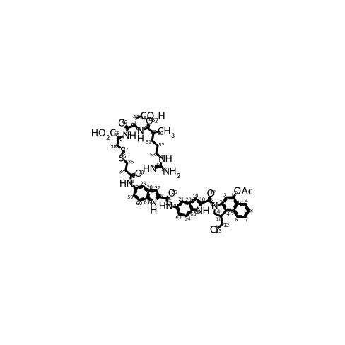 CC(=O)Oc1cc2c(c3ccccc13)C(CCl)CN2C(=O)c1cc2cc(NC(=O)c3cc4cc(NC(=O)CCSSC[C@H](NC(=O)[C@H](CC(=O)O)NC(=O)[C@@H](C)CCCNC(=N)N)C(=O)O)ccc4[nH]3)ccc2[nH]1